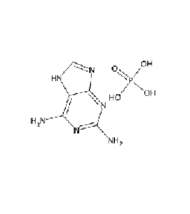 Nc1nc(N)c2[nH]cnc2n1.O=P(O)(O)O